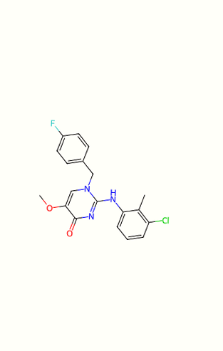 COc1cn(Cc2ccc(F)cc2)c(Nc2cccc(Cl)c2C)nc1=O